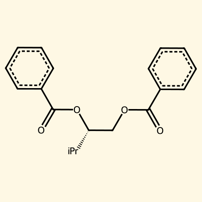 CC(C)[C@@H](COC(=O)c1ccccc1)OC(=O)c1ccccc1